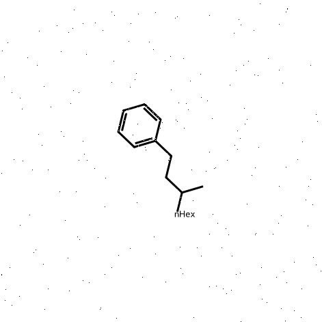 CCCCCCC(C)CCc1ccccc1